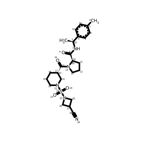 Cc1ccc([C@H](C)NC(=O)[C@H]2CCCN2C(=O)[C@H]2CCCN(S(=O)(=O)N3CC(C#N)C3)C2)cc1